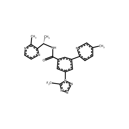 Cc1ccc(-c2cc(C(=O)N[C@@H](C)c3nccnc3C)cc(-n3nnnc3C(F)(F)F)c2)nc1